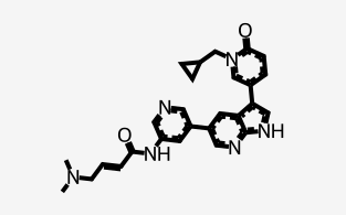 CN(C)C/C=C/C(=O)Nc1cncc(-c2cnc3[nH]cc(-c4ccc(=O)n(CC5CC5)c4)c3c2)c1